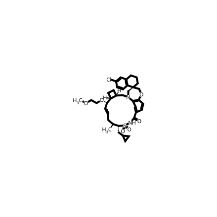 COCCO[C@H]1/C=C/C[C@H](C)[C@@H](CC2CC2)S(=O)(=O)NC(=O)c2ccc3c(c2)N(C[C@@H]2CC[C@H]21)C[C@@]1(CCCc2cc(Cl)ccc21)CO3